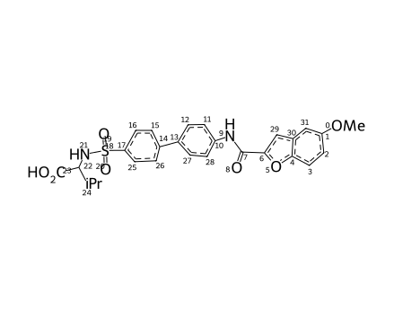 COc1ccc2oc(C(=O)Nc3ccc(-c4ccc(S(=O)(=O)NC(C(=O)O)C(C)C)cc4)cc3)cc2c1